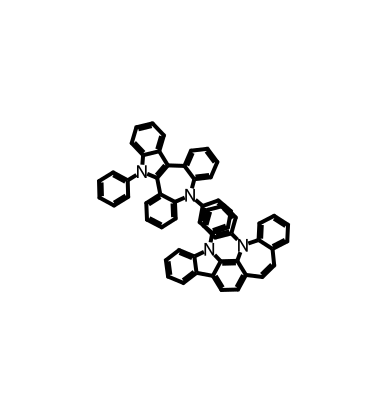 C1=Cc2ccc3c4ccccc4n(-c4cccc(N5c6ccccc6-c6c(n(-c7ccccc7)c7ccccc67)-c6ccccc65)c4)c3c2N(c2ccccc2)c2ccccc21